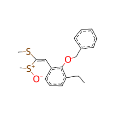 CCc1cccc(C=C(SC)[S+](C)[O-])c1OCc1ccccc1